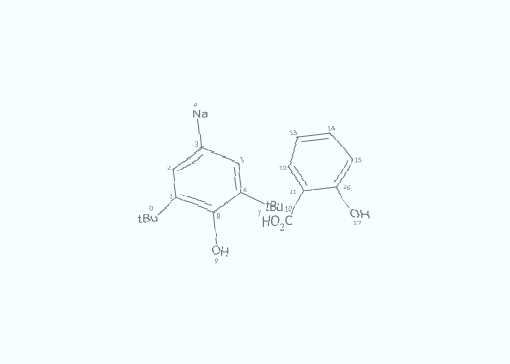 CC(C)(C)c1c[c]([Na])cc(C(C)(C)C)c1O.O=C(O)c1ccccc1O